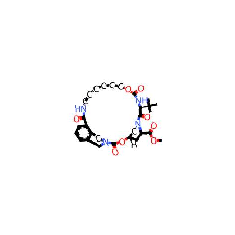 COC(=O)C1C[C@@H]2CN1C(=O)[C@H](C(C)(C)C)NC(=O)OCCCCCCNC(=O)c1cccc3c1CN(C3)C(=O)O2